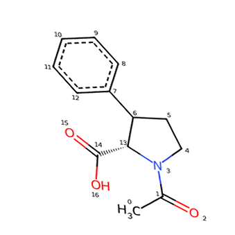 CC(=O)N1CCC(c2ccccc2)[C@H]1C(=O)O